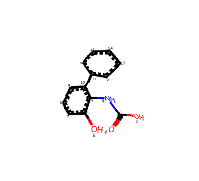 O=C(O)Nc1c(O)cccc1-c1ccccc1